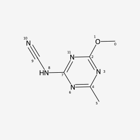 COc1nc(C)nc(NC#N)n1